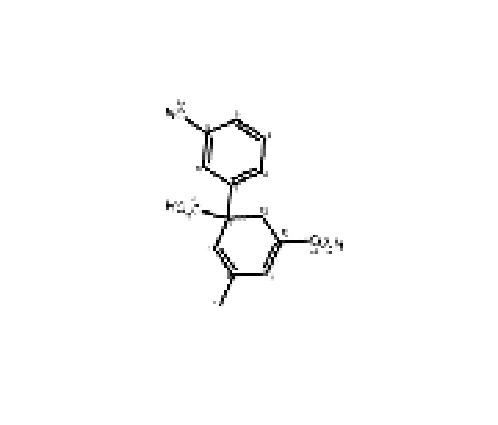 CC1=CC(C(=O)O)(c2cccc(C#N)c2)CC(C(=O)O)=C1